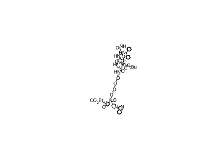 CCOC(=O)Cn1cc(N(CCOCCOCCOCCOCCNC(=O)N2CC[C@H]3CC[C@@H](C(=O)N[C@@H](CCC(N)=O)C(=O)NC(c4ccccc4)c4ccccc4)N3C(=O)[C@@H](NC(=O)OC(C)(C)C)C2)C(=O)[C@H]2CCCN(c3cncc4ccccc34)C2)ccc1=O